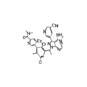 CCOc1c(C(C)n2nc(-c3cncc(C#N)c3)c3c(N)ncnc32)cc(Cl)c(C)c1-c1ccc(C(=O)N(C)C)nc1